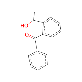 CC(O)c1ccccc1C(=O)c1ccccc1